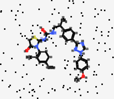 COC1=CC(C)=C(N2C(=O)CS/C2=N\C(=O)NCC(C)c2ccc(-c3ncn(-c4ccc(OC(F)(F)F)cc4)n3)cc2)CC1